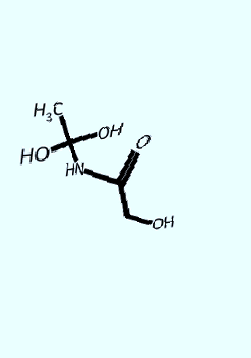 CC(O)(O)NC(=O)CO